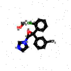 FC(F)(F)c1cccc(C2(c3ccccc3Cl)OC2n2ccnc2)c1.O=[N+]([O-])O